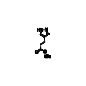 CC(C)(C)OC(=O)CCc1[c]n[nH]c1